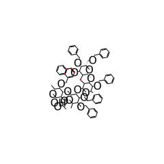 CC(=O)OC1C(O)OC(C)[C@H](OCc2ccccc2)[C@@H]1O[C@@H]1OC(C)[C@H](OCc2ccccc2)[C@H](OCc2ccccc2)C1O[C@@H]1OC(C)[C@H](OCc2ccccc2)[C@H](O[C@H]2O[C@@H](COCc3ccccc3)[C@@H](OCc3ccccc3)C(OCc3ccccc3)C2C)C1C